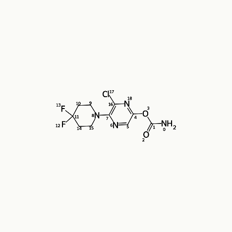 NC(=O)Oc1cnc(N2CCC(F)(F)CC2)c(Cl)n1